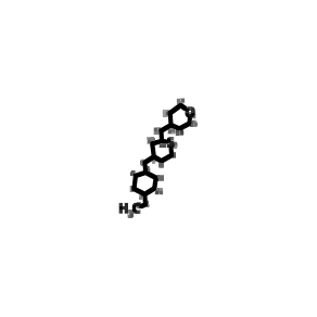 CCC1CCC(CC2CCSC(CC3CCOCC3)C2)CC1